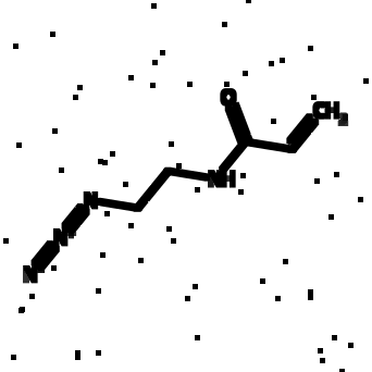 C=CC(=O)NCCN=[N+]=[N-]